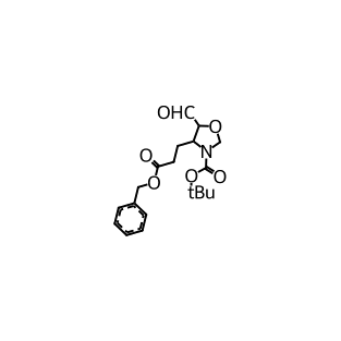 CC(C)(C)OC(=O)N1COC(C=O)C1CCC(=O)OCc1ccccc1